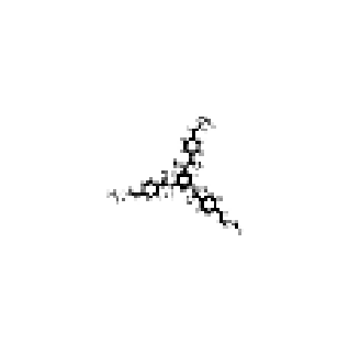 CCCC1CCC(C(=O)Nc2cc(NC(=O)C3CCC(CCC)CC3)cc(NC(=O)C3CCC(CCC)CC3)c2)CC1